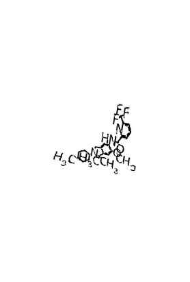 COc1cc2c(cc1NC(=O)c1cccc(C(F)(F)F)n1)CN([C@H]1CC[C@H](C)CC1)C2(C)C